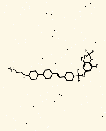 CCCOC1CCC(C2CCC(/C=C/C3CCC(C(F)(F)Oc4cc(F)c(OC(F)(F)F)c(F)c4)CC3)CC2)CC1